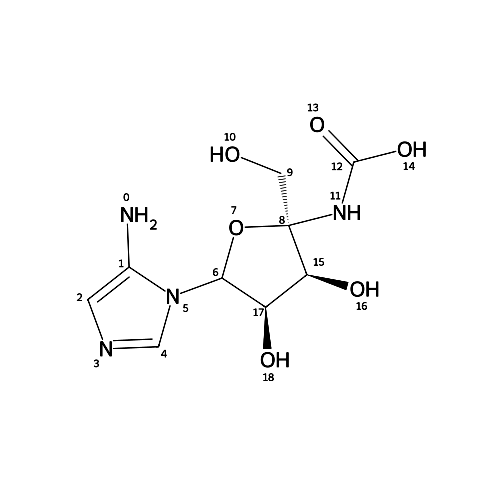 Nc1cncn1C1O[C@@](CO)(NC(=O)O)[C@@H](O)[C@H]1O